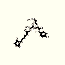 CCc1ccc(NC(=O)[C@H](CCCNC(C)=O)NC(=O)[C@@H](NC(=O)CCCCCN2C(=O)C=CC2=O)C(C)C)cc1